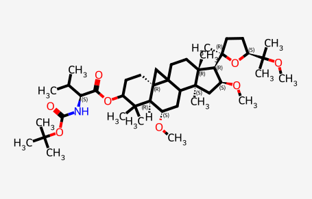 CO[C@H]1C[C@@]2(C)C3C[C@H](OC)[C@H]4C(C)(C)C(OC(=O)[C@@H](NC(=O)OC(C)(C)C)C(C)C)CC[C@@]45CC35CC[C@]2(C)[C@H]1[C@@]1(C)CC[C@@H](C(C)(C)OC)O1